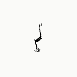 Br/C=C/I